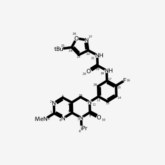 CNc1ncc2c(n1)N(C(C)C)C(=O)N(c1ccc(F)c(NC(=O)Nc3cc(C(C)(C)C)on3)c1)C2